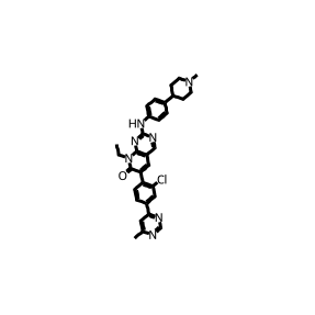 CCn1c(=O)c(-c2ccc(-c3cc(C)ncn3)cc2Cl)cc2cnc(Nc3ccc(C4CCN(C)CC4)cc3)nc21